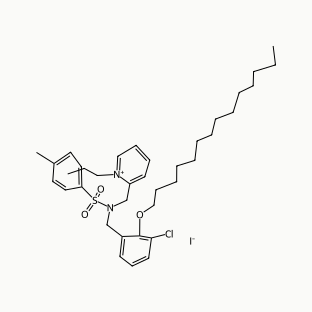 CCCCCCCCCCCCCCOc1c(Cl)cccc1CN(Cc1cccc[n+]1CCC)S(=O)(=O)c1ccc(C)cc1.[I-]